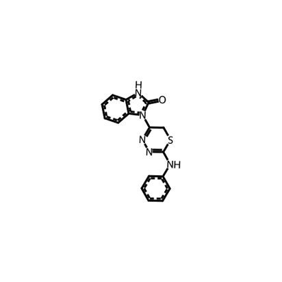 O=c1[nH]c2ccccc2n1C1=NN=C(Nc2ccccc2)SC1